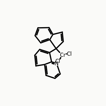 [Cl][Cr]([Cl])[C]1(c2cccc3cccnc23)C=Cc2ccccc21